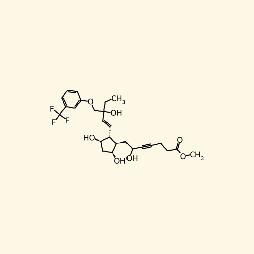 CCC(O)(/C=C/[C@@H]1[C@@H](CC(O)C#CCCC(=O)OC)[C@@H](O)C[C@H]1O)COc1cccc(C(F)(F)F)c1